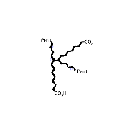 CCCCC/C=C/C/C=C(/CCCCCCCC(=O)O)C(CC/C=C/CCCCC)CCCCCCCC(=O)O